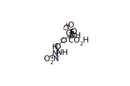 CC1(C)C2CCC1(CS(=O)(=O)N[C@@H](Cc1ccc(-c3cccc(N/C(=C/[N+](=O)[O-])NC4CC4)c3)cc1)C(=O)O)C(=O)C2